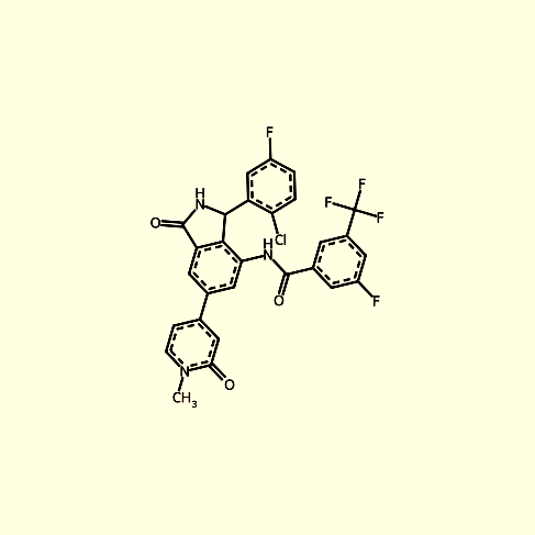 Cn1ccc(-c2cc(NC(=O)c3cc(F)cc(C(F)(F)F)c3)c3c(c2)C(=O)NC3c2cc(F)ccc2Cl)cc1=O